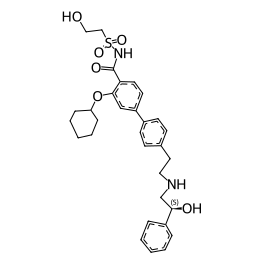 O=C(NS(=O)(=O)CCO)c1ccc(-c2ccc(CCNC[C@@H](O)c3ccccc3)cc2)cc1OC1CCCCC1